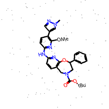 COc1nc(Nc2ccc3c(n2)OC(c2ccccc2)CN(C(=O)OC(C)(C)C)C3)ccc1-c1cnn(C)c1